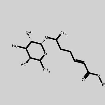 CC(CC/C=C/C(=O)OC(C)(C)C)O[C@@H]1OC(C)[C@@H](O)C(O)[C@@H]1O